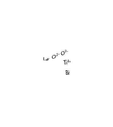 [Bi].[La].[O-2].[O-2].[Ti+4]